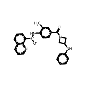 Cc1cc(C(=O)N2CC(Nc3ccccc3)C2)ccc1N[S+]([O-])c1cccc2cccnc12